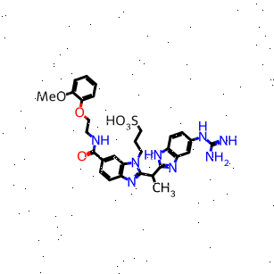 COc1ccccc1OCCNC(=O)c1ccc2nc(C(C)c3nc4cc(NC(=N)N)ccc4[nH]3)n(CCCS(=O)(=O)O)c2c1